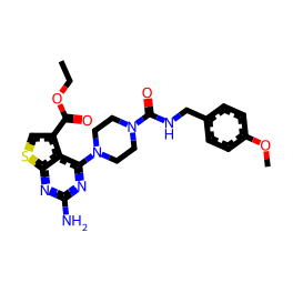 CCOC(=O)c1csc2nc(N)nc(N3CCN(C(=O)NCc4ccc(OC)cc4)CC3)c12